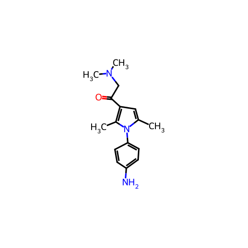 Cc1cc(C(=O)CN(C)C)c(C)n1-c1ccc(N)cc1